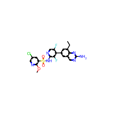 CCc1cc(-c2c(F)cnc(NS(=O)(=O)c3cc(Cl)cnc3OC)c2F)cc2cnc(N)nc12